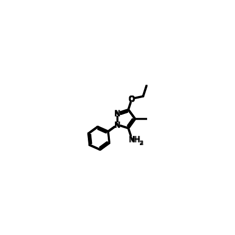 CCOc1nn(-c2ccccc2)c(N)c1C